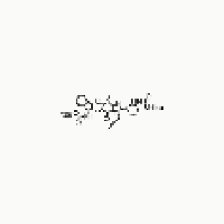 CC#CCn1c(N2CCCC(NC(=O)OC(C)(C)C)C2)nc2c1c(=O)n(Cc1cc3ccccc3n1NC(=O)OC(C)(C)C)c(=O)n2C